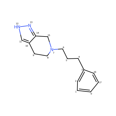 c1ccc(CCCN2CCc3c[nH]nc3C2)cc1